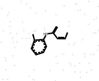 C=C(/C=C\C)Nc1ccccc1C